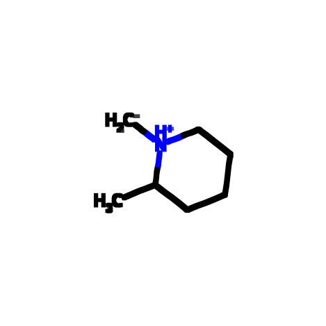 [CH2-][NH+]1CCCCC1C